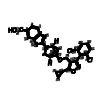 O=C(O)c1ccc2nc(N3C[C@H]4C[C@@H]3C[C@H]4OCc3c(-c4c(Cl)cccc4Cl)noc3C3CC3)sc2c1